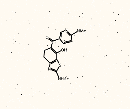 CNc1ccc(C(=O)C2=C(O)c3sc(NC(C)=O)nc3CC2)cn1